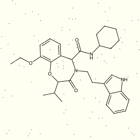 CCOc1cccc2c1OC(C(C)C)C(=O)N(CCc1c[nH]c3ccccc13)C2C(=O)NC1CCCCC1